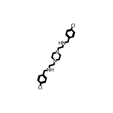 Clc1ccc(CNCCN2CCN(CCNCc3ccc(Cl)cc3)CC2)cc1